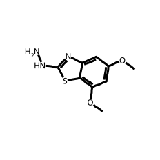 COc1cc(OC)c2sc(NN)nc2c1